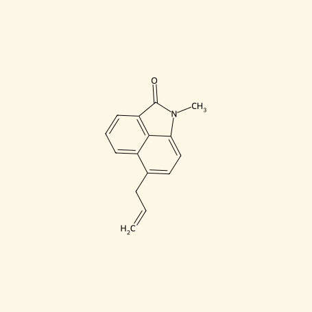 C=CCc1ccc2c3c(cccc13)C(=O)N2C